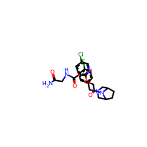 NC(=O)CNC(=O)c1cc(Cl)cnc1OCC(=O)N1C2CCC1CN(Cc1ccc(F)cc1)C2